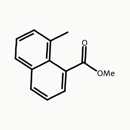 COC(=O)c1cccc2cccc(C)c12